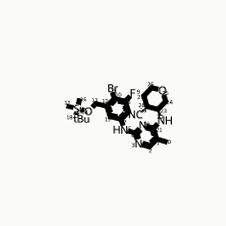 Cc1cnc(Nc2cc(F)c(Br)c(CO[Si](C)(C)C(C)(C)C)c2)nc1N[C@@H]1COCC[C@H]1C#N